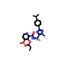 CCC(=O)Oc1c(OC)ccnc1C(=O)N[C@@H](C)c1nc(-c2ccc(C(C)C)cc2)nn1C